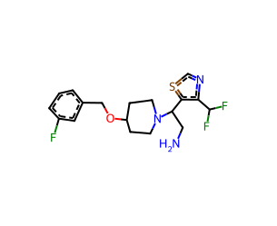 NCC(c1scnc1C(F)F)N1CCC(OCc2cccc(F)c2)CC1